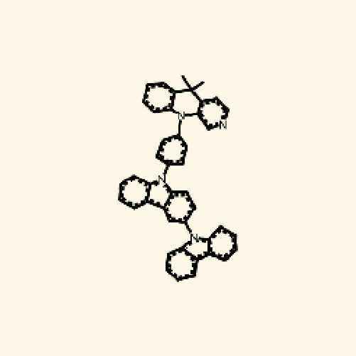 CC1(C)c2ccccc2N(c2ccc(-n3c4ccccc4c4cc(-n5c6ccccc6c6ccccc65)ccc43)cc2)c2cnccc21